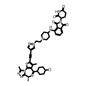 Cc1c(C#Cc2cnn(CCN3CCC(Nc4cccc5c4C(=O)N(C4CCC(=O)NC4=O)C5=O)CC3)c2)sc2c1C(C1CCC(Cl)CC1)=N[C@@H](C)c1nnc(C)n1-2